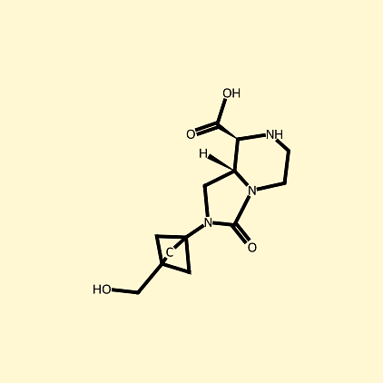 O=C(O)[C@H]1NCCN2C(=O)N(C34CC(CO)(C3)C4)C[C@H]12